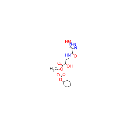 CC(OC(=O)OC1CCCCC1)OC(=O)C(O)CCNC(=O)c1cn(O)nn1